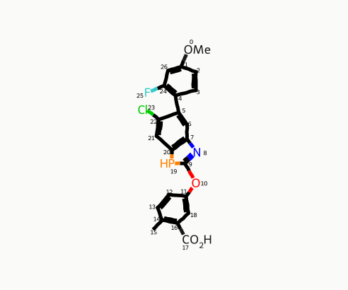 COc1ccc(-c2cc3nc(Oc4ccc(C)c(C(=O)O)c4)[pH]c3cc2Cl)c(F)c1